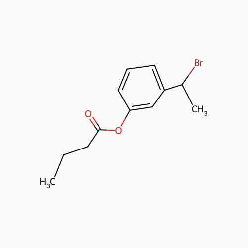 CCCC(=O)Oc1cccc(C(C)Br)c1